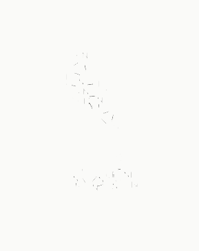 C=C1N(c2ccc(C#N)c(C(F)(F)F)c2F)C(=O)C(C)(C)N1c1ccc(-c2ccc(OCCCCOCC(=O)N[C@H](C(=O)N3CCC[C@H]3c3nc(-c4scnc4C)cn3C)C(C)(C)C)cc2)nc1